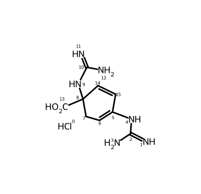 Cl.N=C(N)NC1=CCC(NC(=N)N)(C(=O)O)C=C1